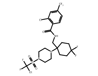 CCC(F)(F)S(=O)(=O)N1CCN(C2(CNC(=O)c3ccc(C(F)(F)F)cc3Cl)CCC(F)(F)CC2)CC1